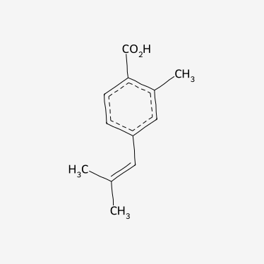 CC(C)=Cc1ccc(C(=O)O)c(C)c1